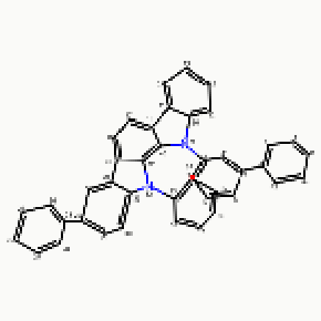 c1ccc(-c2cccc(-n3c4ccccc4c4ccc5c6cc(-c7ccccc7)ccc6n(-c6ccccc6)c5c43)c2)cc1